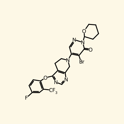 O=c1c(Br)c(N2CCc3c(ncnc3Oc3ccc(F)cc3C(F)(F)F)C2)cnn1C1CCCCO1